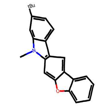 Cn1c2cc(C(C)(C)C)ccc2c2cc3c(cc21)oc1ccccc13